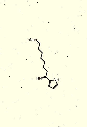 CCCCCCCCCCCCCCCCC(=N)c1ccc[nH]1